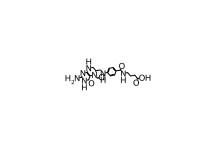 Nc1nc2c(c(=O)[nH]1)N(C=O)C(CNc1ccc(C(=O)NCCCC(=O)O)cc1)CN2